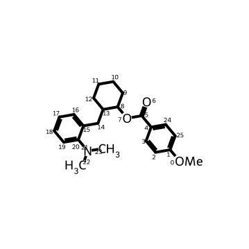 COc1ccc(C(=O)OC2CCCCC2Cc2ccccc2N(C)C)cc1